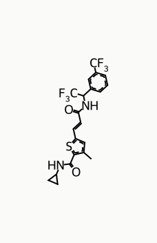 Cc1cc(C=CC(=O)NC(c2cccc(C(F)(F)F)c2)C(F)(F)F)sc1C(=O)NC1CC1